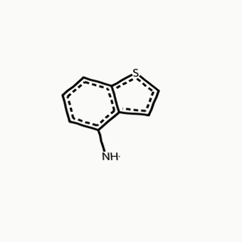 [NH]c1cccc2sccc12